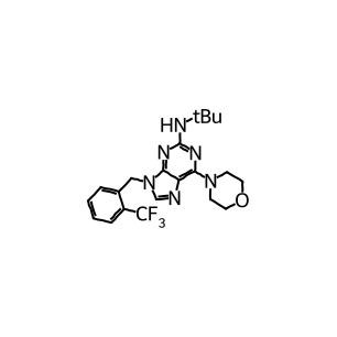 CC(C)(C)Nc1nc(N2CCOCC2)c2ncn(Cc3ccccc3C(F)(F)F)c2n1